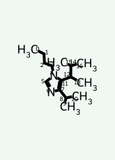 CCCCn1cnc(C(C)C)c1C(C)C(C)C